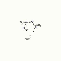 CC/C=C\C/C(=C\C/C=C\C/C(=C\CCCCCC[C]=O)[N+](=O)[O-])[N+](=O)[O-]